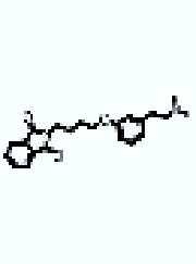 CN(C)CCc1cccc(OCCCCN2C(=O)c3ccccc3C2=O)c1